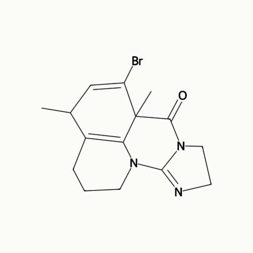 CC1C=C(Br)C2(C)C(=O)N3CCN=C3N3CCCC1=C32